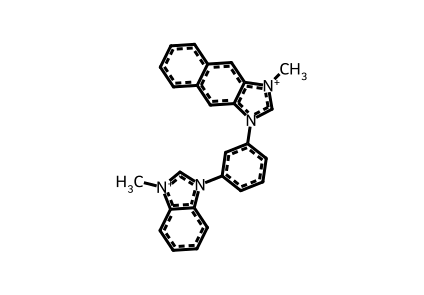 C[n+]1cn(-c2cccc(-n3c[n+](C)c4cc5ccccc5cc43)c2)c2ccccc21